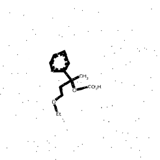 CCOCCC(C)(OC(=O)O)c1ccccc1